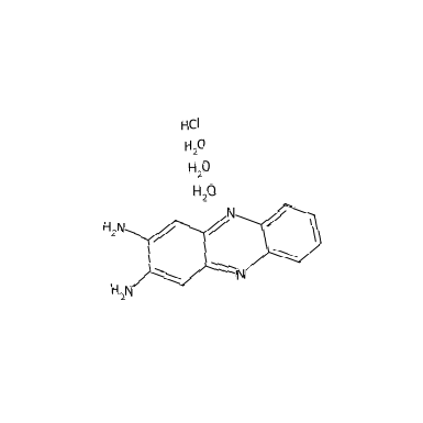 Cl.Nc1cc2nc3ccccc3nc2cc1N.O.O.O